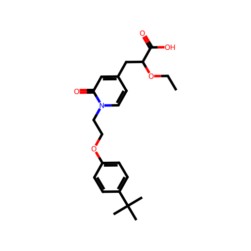 CCOC(Cc1ccn(CCOc2ccc(C(C)(C)C)cc2)c(=O)c1)C(=O)O